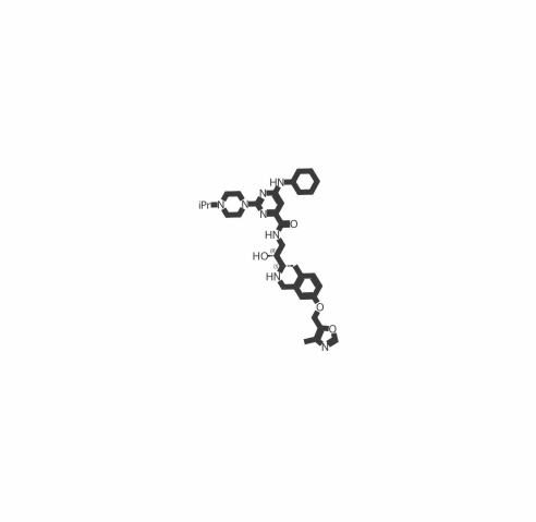 Cc1ncoc1COc1ccc2c(c1)CN[C@H]([C@H](O)CNC(=O)c1cc(NC3CCCCC3)nc(N3CCN(C(C)C)CC3)n1)C2